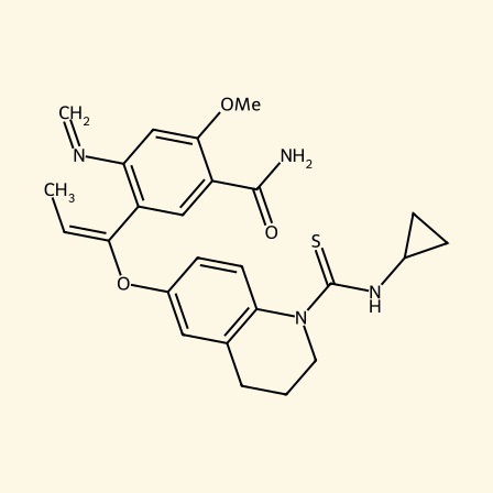 C=Nc1cc(OC)c(C(N)=O)cc1/C(=C\C)Oc1ccc2c(c1)CCCN2C(=S)NC1CC1